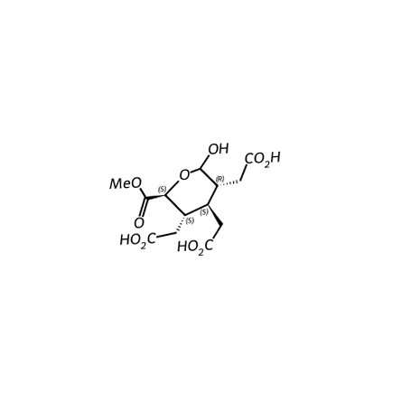 COC(=O)[C@H]1OC(O)[C@H](CC(=O)O)[C@@H](CC(=O)O)[C@@H]1CC(=O)O